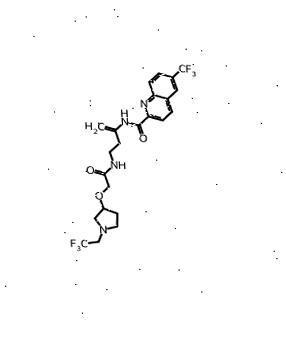 C=C(CCNC(=O)COC1CCN(CC(F)(F)F)C1)NC(=O)c1ccc2cc(C(F)(F)F)ccc2n1